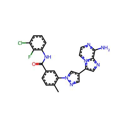 Cc1ccc(C(=O)Nc2cccc(Cl)c2F)cc1-n1cc(-c2cnc3c(N)nccn23)cn1